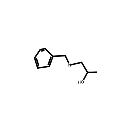 CC(O)C[N]Cc1ccccc1